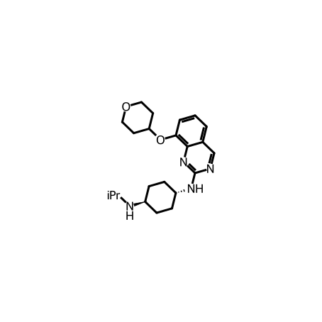 CC(C)N[C@H]1CC[C@H](Nc2ncc3cccc(OC4CCOCC4)c3n2)CC1